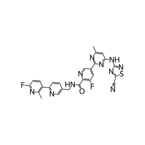 Cc1cc(Nc2nsc(C#N)n2)nc(-c2cnc(C(=O)NCc3ccc(-c4ccc(F)nc4C)nc3)c(F)c2)n1